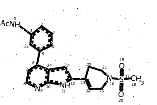 CC(=O)Nc1cccc(-c2ccnc3[nH]c(C4=CCN(S(C)(=O)=O)CC4)cc23)c1